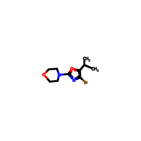 CC(C)c1oc(N2CCOCC2)nc1Br